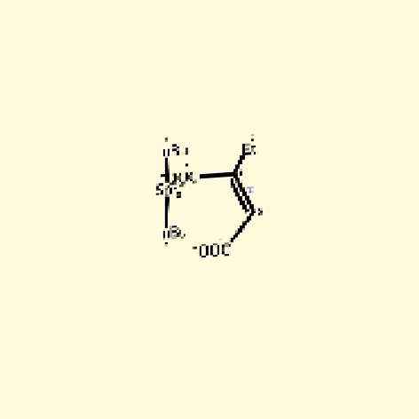 CC/C(=C/C(=O)[O-])C(=O)[O-].CCC[CH2][Sn+2][CH2]CCC